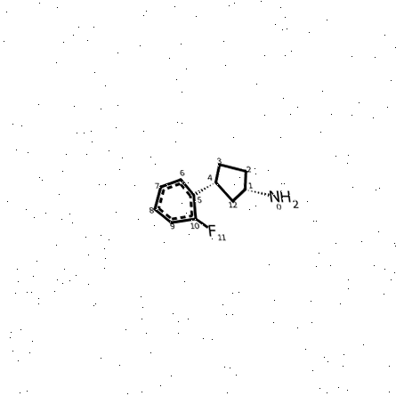 N[C@H]1CC[C@@H](c2ccccc2F)C1